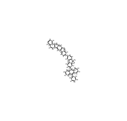 CC1(C)c2ccc(-c3ccc4c(c3)sc3cc5sc6c7ccccc7ccc6c5cc34)cc2-c2ccc(-c3c4ccccc4c(-c4ccccc4)c4ccccc34)cc21